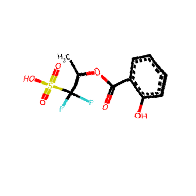 CC(OC(=O)c1ccccc1O)C(F)(F)S(=O)(=O)O